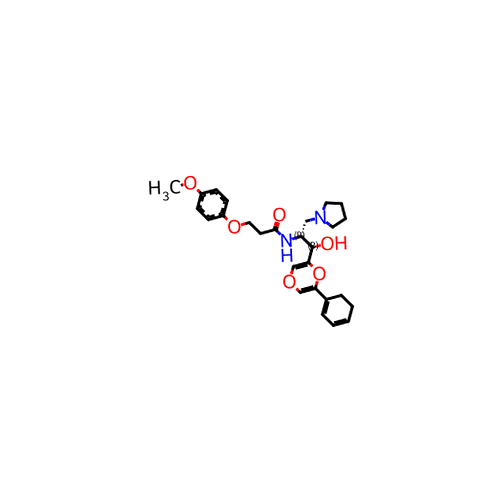 COc1ccc(OCCC(=O)N[C@H](CN2CCCC2)[C@@H](O)C2=COC=C(C3=CC=CCC3)O2)cc1